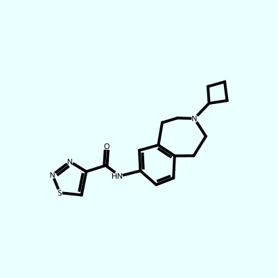 O=C(Nc1ccc2c(c1)CCN(C1CCC1)CC2)c1csnn1